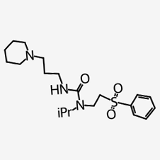 CC(C)N(CCS(=O)(=O)c1ccccc1)C(=O)NCCCN1CCCCC1